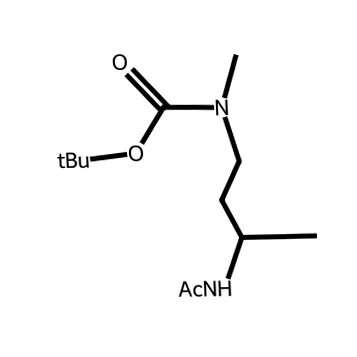 CC(=O)NC(C)CCN(C)C(=O)OC(C)(C)C